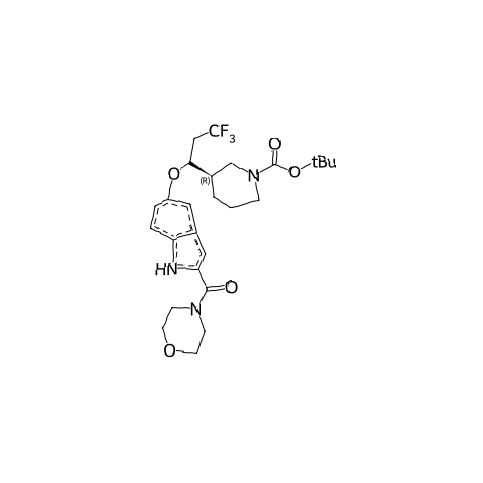 CC(C)(C)OC(=O)N1CCC[C@@H](C(CC(F)(F)F)Oc2ccc3[nH]c(C(=O)N4CCOCC4)cc3c2)C1